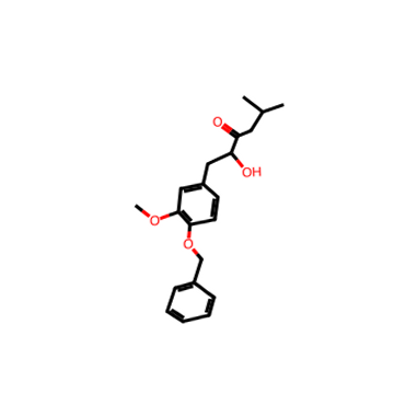 COc1cc(CC(O)C(=O)CC(C)C)ccc1OCc1ccccc1